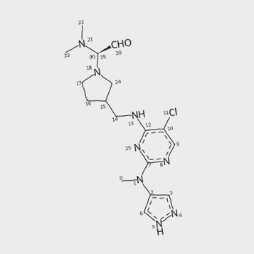 CN(c1cn[nH]c1)c1ncc(Cl)c(NCC2CCN([C@H](C=O)N(C)C)C2)n1